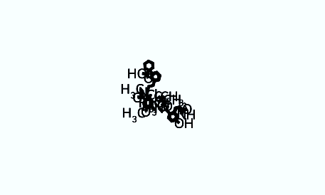 COc1cc(C(=O)N(C)CCCc2cccc(C3(C(=O)O)CCCCC3)c2)c(Cl)cc1CNC[C@H](O[Si](C)(C)C(C)(C)C)c1ccc(O)c2[nH]c(=O)ccc12